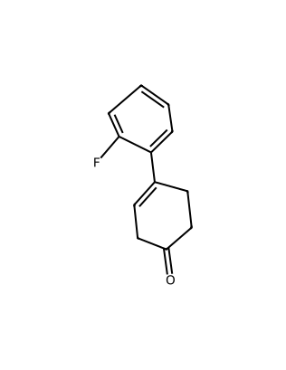 O=C1CC=C(c2ccccc2F)CC1